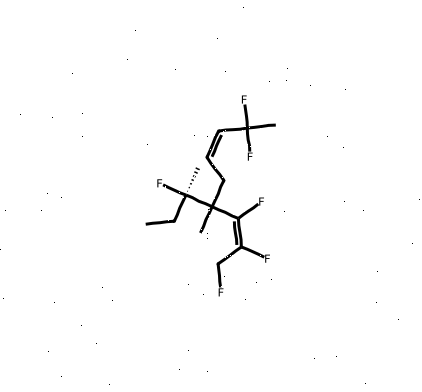 CC[C@@](C)(F)C(C)(C/C=C\C(C)(F)F)/C(F)=C(/F)CF